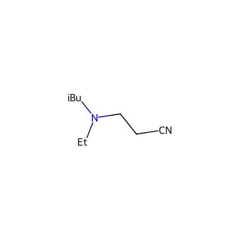 CCC(C)N(CC)CCC#N